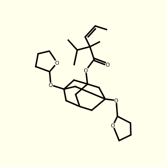 C/C=C\C(C)(C(=O)OC12CC3CC(OC4CCCO4)(C1)CC(OC1CCCO1)(C3)C2)C(C)C